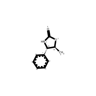 C[C@@H]1OC(=O)N[C@H]1c1ccccc1